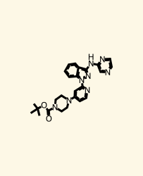 CC(C)(C)OC(=O)N1CCN(c2ccnc(-n3nc(Nc4cnccn4)c4ccccc43)c2)CC1